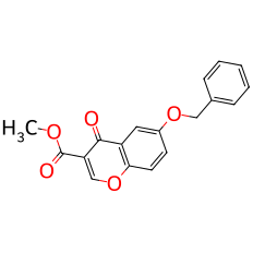 COC(=O)c1coc2ccc(OCc3ccccc3)cc2c1=O